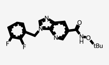 CC(C)(C)ONC(=O)c1cnc2c(c1)ncn2Cc1cccc(F)c1F